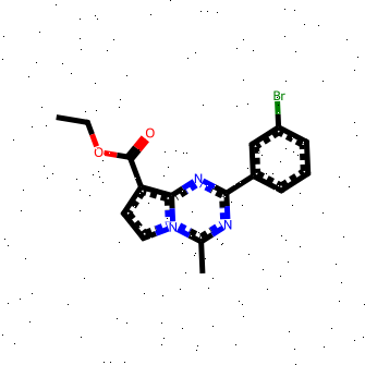 CCOC(=O)c1ccn2c(C)nc(-c3cccc(Br)c3)nc12